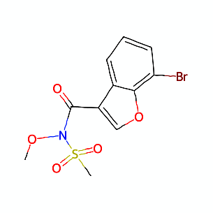 CON(C(=O)c1coc2c(Br)cccc12)S(C)(=O)=O